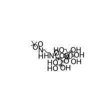 CC(C)(C)OC(=O)NCCCNC(=O)[C@H](O)[C@@H](O)[C@H](O[C@@H]1OC(CO)[C@H](O)[C@H](O)C1O)[C@H](O)CO